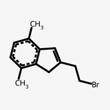 Cc1ccc(C)c2c1C=C(CCBr)C2